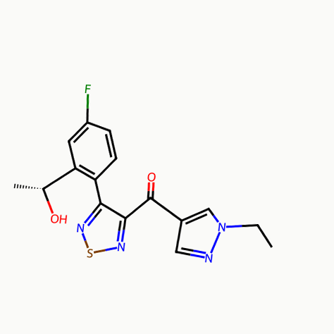 CCn1cc(C(=O)c2nsnc2-c2ccc(F)cc2[C@@H](C)O)cn1